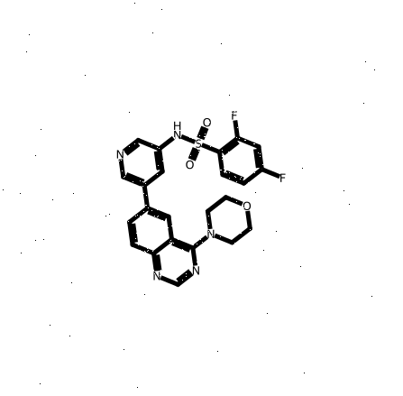 O=S(=O)(Nc1cncc(-c2ccc3ncnc(N4CCOCC4)c3c2)c1)c1ccc(F)cc1F